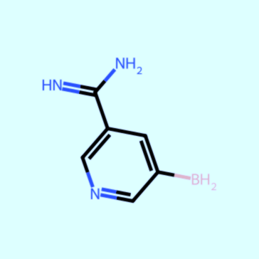 Bc1cncc(C(=N)N)c1